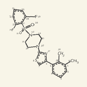 Cc1cccc(-c2csc(N3CCN(S(=O)(=O)c4c(F)cccc4F)CC3)n2)c1C